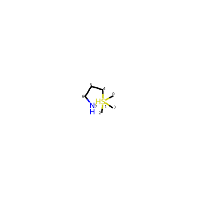 C[SH]1(C)(C)CCCN1